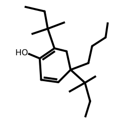 CCCCC1(C(C)(C)CC)C=CC(O)=C(C(C)(C)CC)C1